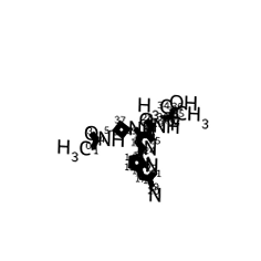 CCC(=O)NC[C@H]1C[C@H](Nc2cc(-c3ccc4cc(C#N)cnn34)ncc2C(=O)NC[C@@H](F)C(C)(C)O)C1